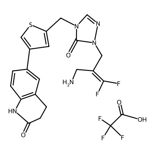 NCC(Cn1ncn(Cc2cc(-c3ccc4c(c3)CCC(=O)N4)cs2)c1=O)=C(F)F.O=C(O)C(F)(F)F